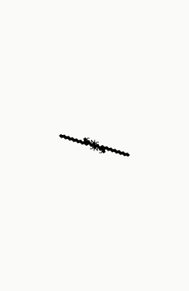 CCCCCCCCCCCCc1cc(-c2nc3sc(-c4cc(CCCCCCCCCCCC)c(C)s4)nc3s2)sc1C